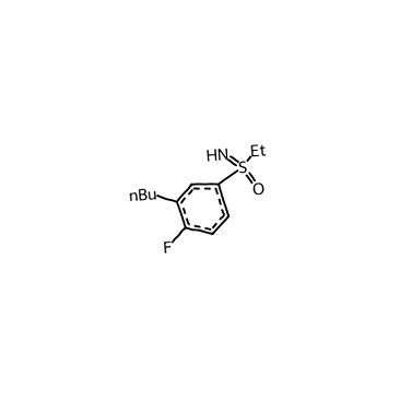 CCCCc1cc(S(=N)(=O)CC)ccc1F